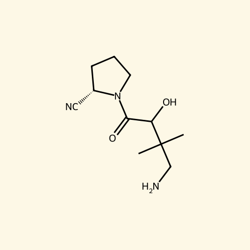 CC(C)(CN)C(O)C(=O)N1CCC[C@H]1C#N